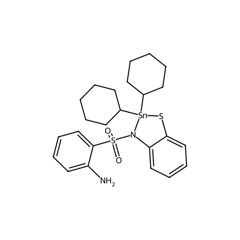 Nc1ccccc1S(=O)(=O)[N]1c2ccccc2[S][Sn]1([CH]1CCCCC1)[CH]1CCCCC1